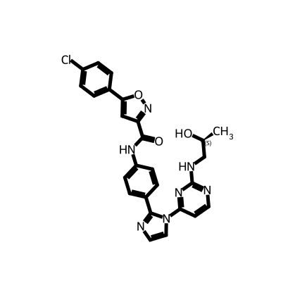 C[C@H](O)CNc1nccc(-n2ccnc2-c2ccc(NC(=O)c3cc(-c4ccc(Cl)cc4)on3)cc2)n1